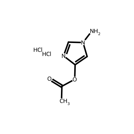 CC(=O)Oc1cn(N)cn1.Cl.Cl